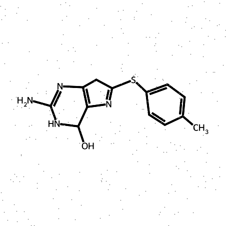 Cc1ccc(SC2=NC3=C(C2)N=C(N)NC3O)cc1